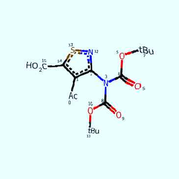 CC(=O)c1c(N(C(=O)OC(C)(C)C)C(=O)OC(C)(C)C)nsc1C(=O)O